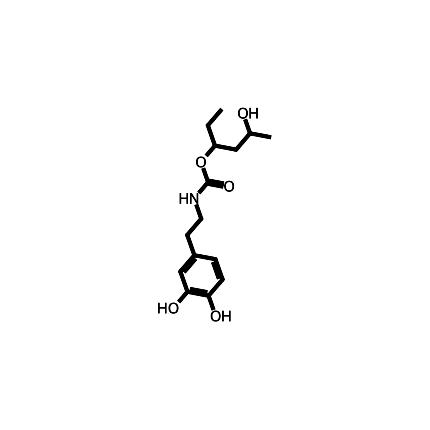 CCC(CC(C)O)OC(=O)NCCc1ccc(O)c(O)c1